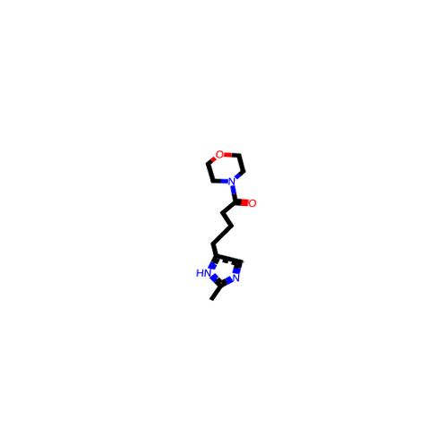 Cc1n[c]c(CCCC(=O)N2CCOCC2)[nH]1